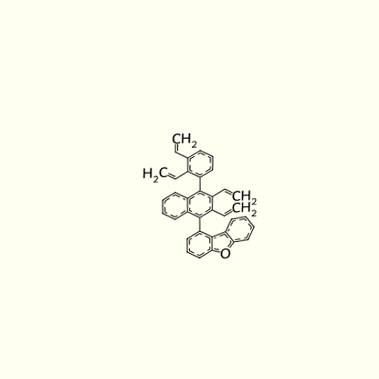 C=Cc1cccc(-c2c(C=C)c(C=C)c(-c3cccc4oc5ccccc5c34)c3ccccc23)c1C=C